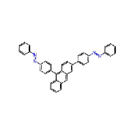 c1ccc(N=Nc2ccc(-c3ccc4c(-c5ccc(N=Nc6ccccc6)cc5)c5ccccc5cc4c3)cc2)cc1